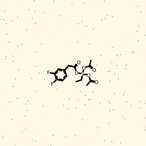 CC[Si](OC(C)=O)(OC(C)=O)OC(=O)Cc1ccc(F)c(F)c1